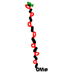 COCCOCCOCCOCCOCCOCCOCCOBr